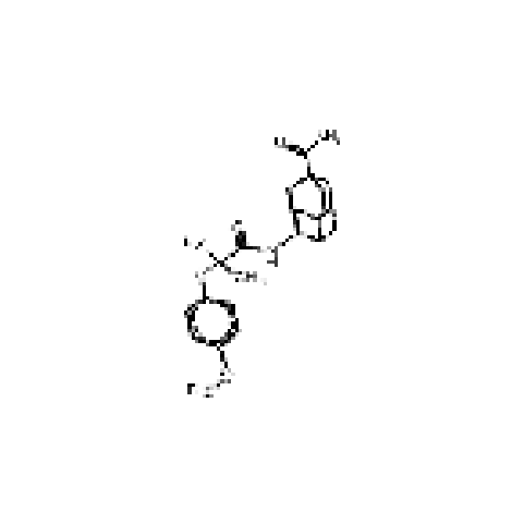 CC(C)(Oc1ccc(OC(F)(F)F)cc1)C(=O)NC1C2CC3CC1CC(C(N)=O)(C3)C2